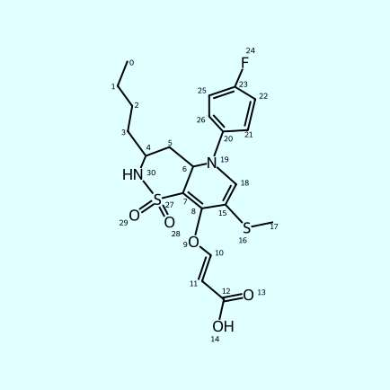 CCCCC1CC2C(=C(O/C=C/C(=O)O)C(SC)=CN2c2ccc(F)cc2)S(=O)(=O)N1